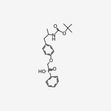 CC(Cc1ccc(OC[P@](=O)(O)c2ccccc2)cc1)NC(=O)OC(C)(C)C